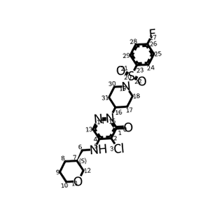 O=c1c(Cl)c(NC[C@@H]2CCCOC2)cnn1C1CCN(S(=O)(=O)c2ccc(F)cc2)CC1